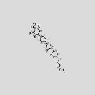 C/C=C/CCC1CCC(c2ccc(-c3ccc(-c4ccc(OC)c(F)c4F)cc3)cc2F)CC1